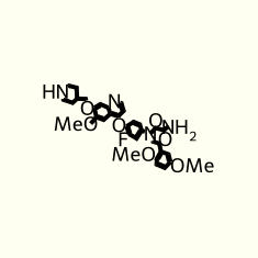 COc1ccc(OC)c(CCN(C(=O)C(N)=O)c2ccc(Oc3ccnc4cc(OCC5CCNCC5)c(OC)cc34)c(F)c2)c1